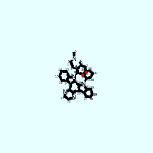 C=N/C=C\c1c(C)cccc1-n1c2ccccc2c2c3nccnc3c3c4ccccc4n(-c4ccccc4)c3c21